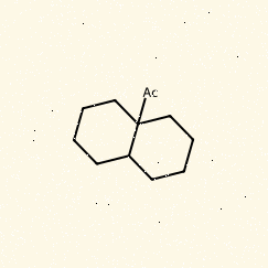 CC(=O)C12CCCCC1CCCC2